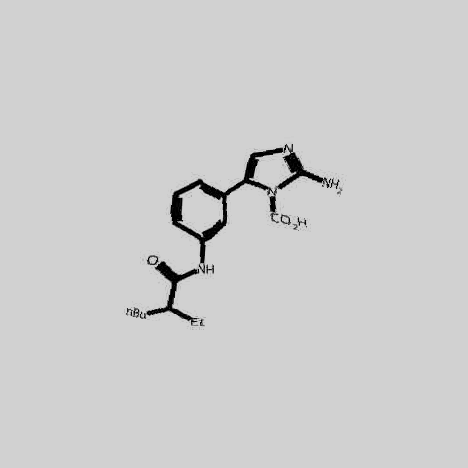 CCCCC(CC)C(=O)Nc1cccc(-c2cnc(N)n2C(=O)O)c1